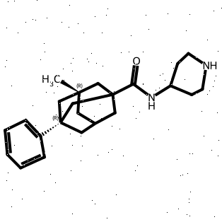 C[C@]12CC3CC(C(=O)NC4CCNCC4)(C1)C[C@@](c1ccccc1)(C3)C2